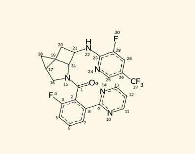 O=C(c1c(F)cccc1-c1ncccn1)N1CC2CC23CC(Nc2ncc(C(F)(F)F)cc2F)C13